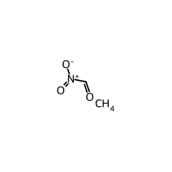 C.O=C[N+](=O)[O-]